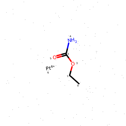 CCOC(N)=O.[Pt+4]